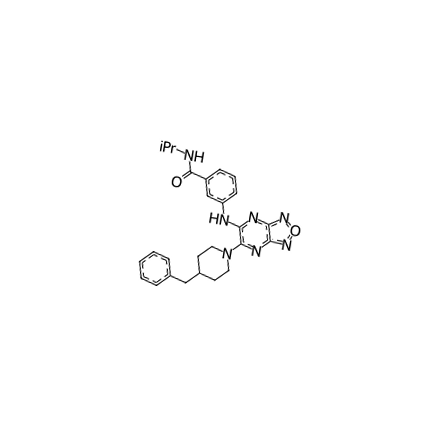 CC(C)NC(=O)c1cccc(Nc2nc3nonc3nc2N2CCC(Cc3ccccc3)CC2)c1